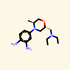 CCN(CC)C[C@@H]1CN(c2ccc(N)c(N)c2)[C@@H](C)CO1